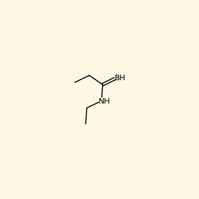 B=C(CC)NCC